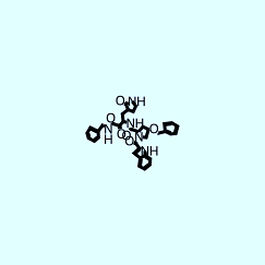 O=C(NCc1ccccc1)C(=O)C(CC1CCNC1=O)NC(=O)C1CC(OCc2ccccc2)CN1C(=O)c1cc2ccccc2[nH]1